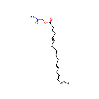 CCCCCC=CCC=CCC=CCC=CCCCC(=O)OCC(N)=O